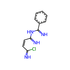 N=C(Cl)/C=C\C(=N)NC(=N)c1ccccc1